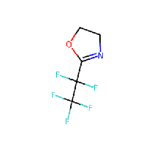 FC(F)(F)C(F)(F)C1=NCCO1